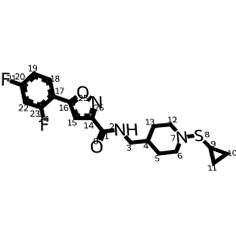 O=C(NCC1CCN(SC2CC2)CC1)c1cc(-c2ccc(F)cc2F)on1